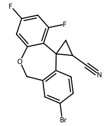 N#CC1CC12c1ccc(Br)cc1COc1cc(F)cc(F)c12